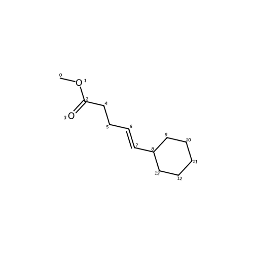 COC(=O)CCC=CC1CCCCC1